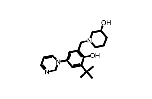 CC(C)(C)c1cc(N2C=CC=NC2)cc(CN2CCCC(O)C2)c1O